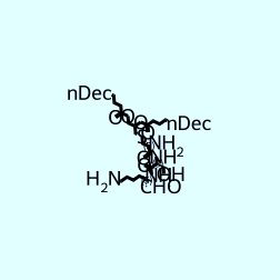 CCCCCCCCCCCCCC(=O)OCC(CSC[C@H](N)C(=O)N[C@@H](CO)C(=O)N[C@H]([C]=O)CCCCN)OC(=O)CCCCCCCCCCCCC